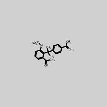 C=C(C)c1ccc(C(C)(C)c2c(NC(=O)O)cccc2C(=C)C)cc1